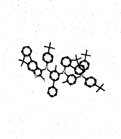 Cc1ccc(N(c2ccc(C(C)(C)C)cc2)c2ccc(C(C)(C)C)cc2)cc1N(c1cc(-c2ccccc2)cc(N(c2ccc(C(C)(C)C)cc2)c2c(I)sc3cc4c(cc23)-c2ccccc2C4(C)C)c1C)c1cccc2c1-c1ccccc1C2(C)C